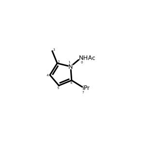 CC(=O)Nn1c(C)ccc1C(C)C